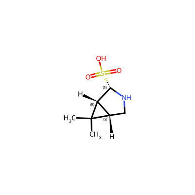 CC1(C)[C@@H]2[C@H](S(=O)(=O)O)NC[C@@H]21